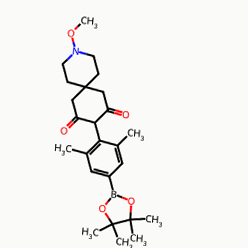 CON1CCC2(CC1)CC(=O)C(c1c(C)cc(B3OC(C)(C)C(C)(C)O3)cc1C)C(=O)C2